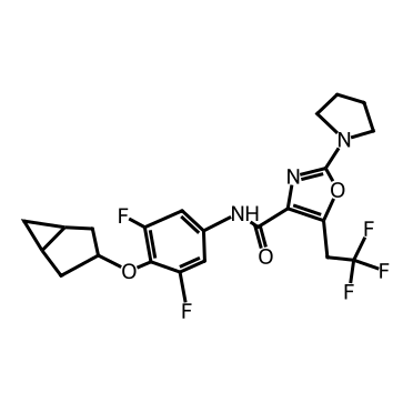 O=C(Nc1cc(F)c(OC2CC3CC3C2)c(F)c1)c1nc(N2CCCC2)oc1CC(F)(F)F